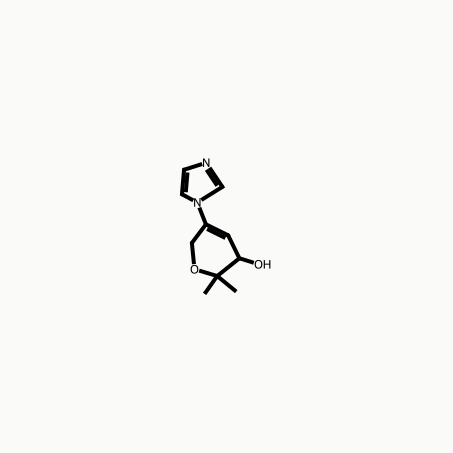 CC1(C)OCC(n2ccnc2)=CC1O